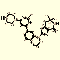 Cc1nc(-c2ccc3c(c2)N(c2nc4c(s2)C(=O)NC(C)(C)C4)CCO3)cc(N2CCNCC2)n1